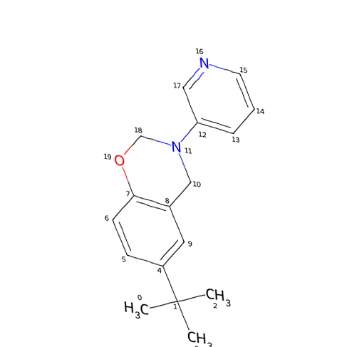 CC(C)(C)c1ccc2c(c1)CN(c1cccnc1)CO2